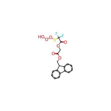 O=C(COC(=O)C(F)(F)SOOO)OCC1c2ccccc2-c2ccccc21